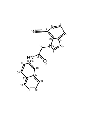 N#Cc1cccc2ncn(CC(=O)Nc3ccc4ccccc4c3)c12